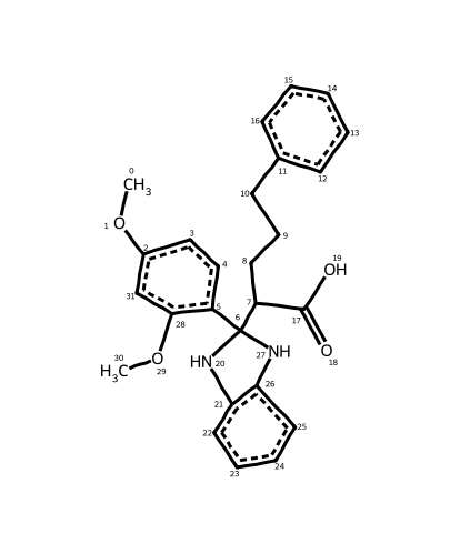 COc1ccc(C2(C(CCCc3ccccc3)C(=O)O)Nc3ccccc3N2)c(OC)c1